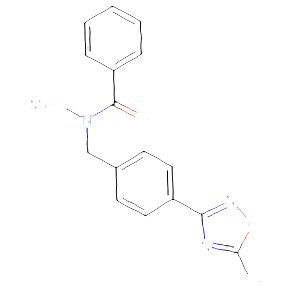 CON(Cc1ccc(-c2noc(C(F)(F)F)n2)cc1)C(=O)c1ccccc1